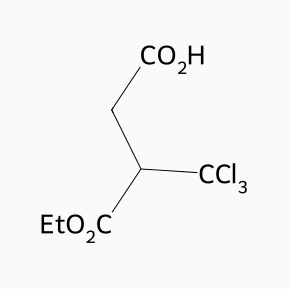 CCOC(=O)C(CC(=O)O)C(Cl)(Cl)Cl